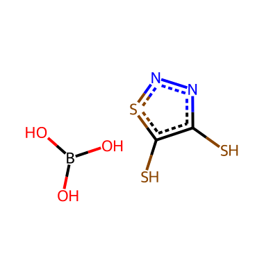 OB(O)O.Sc1nnsc1S